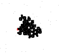 COc1cc2c(cc1OC(C)=O)CCN[C@]21CS[C@@H]2c3c(OC(C)=O)c(C)c4c(c3[C@H](COC1=O)N1C2[C@@H]2c3c(cc(C)c(OC)c3O)C[C@@H]([C@@H]1C#N)N2C(=O)OC(C)(C)C)OCO4